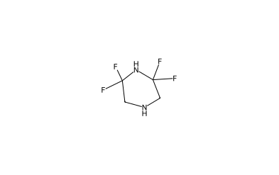 FC1(F)CNCC(F)(F)N1